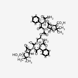 CC1(C)S[C@@H]2[C@H](N(C(=O)OCCOC(=O)N(C(=O)C(NC(N)=O)c3ccccc3)[C@@H]3C(=O)N4[C@@H]3SC(C)(C)[C@@H]4C(=O)O)C(=O)C(NC(N)=O)c3ccccc3)C(=O)N2[C@H]1C(=O)O